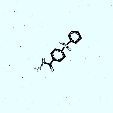 NNC(=O)c1ccc(S(=O)(=O)c2ccccc2)cc1